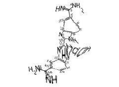 Cl.Cl.N=C(N)c1ccc2[nH]c(-c3nc4cc(C(=N)N)ccc4[nH]3)nc2c1